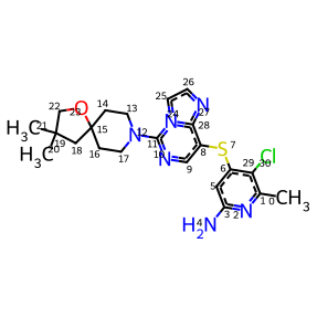 Cc1nc(N)cc(Sc2cnc(N3CCC4(CC3)CC(C)(C)CO4)n3ccnc23)c1Cl